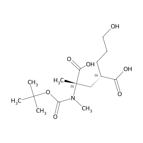 CN(C(=O)OC(C)(C)C)[C@@](C)(C[C@H](CCCO)C(=O)O)C(=O)O